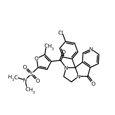 Cc1oc(S(=O)(=O)N(C)C)cc1C(=O)N1CCN2C(=O)c3ccncc3C21c1ccc(Cl)cc1